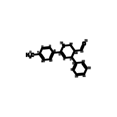 Cc1ccc(C2=CC(c3ccccc3)C(C=O)CS2)cc1